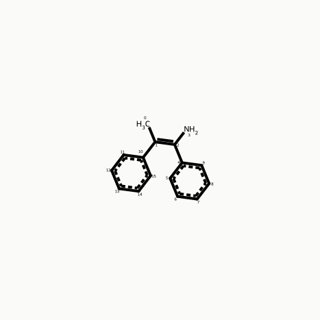 C/C(=C(\N)c1ccccc1)c1ccccc1